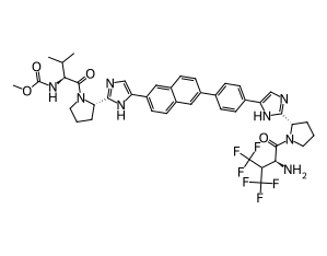 COC(=O)N[C@H](C(=O)N1CCC[C@H]1c1ncc(-c2ccc3cc(-c4ccc(-c5cnc([C@@H]6CCCN6C(=O)[C@@H](N)C(C(F)(F)F)C(F)(F)F)[nH]5)cc4)ccc3c2)[nH]1)C(C)C